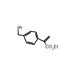 C=C(C(=O)OCC)c1ccc(CC(C)C)cc1